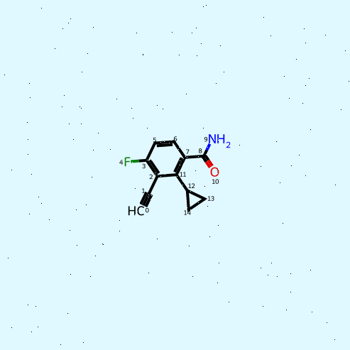 C#Cc1c(F)ccc(C(N)=O)c1C1CC1